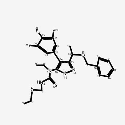 CCOCNC(=S)N(CC)c1[nH]nc(C(C)OCc2ccccc2)c1-c1cc(F)c(F)c(F)c1